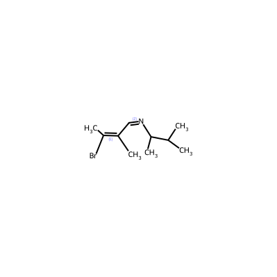 C/C(Br)=C(C)\C=N/C(C)C(C)C